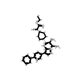 Bc1c(N)n2ncc(-c3ccc(-c4ccccc4)nc3)c2nc1[C@H]1CC[C@@H](C(F)C(=O)OCC)CC1